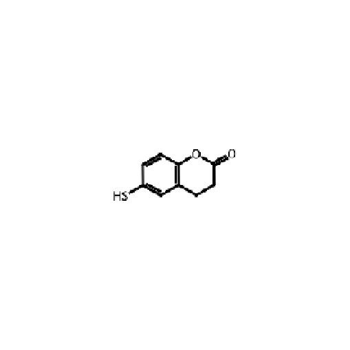 O=C1CCc2cc(S)ccc2O1